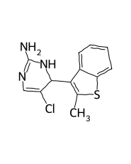 Cc1sc2ccccc2c1C1NC(N)=NC=C1Cl